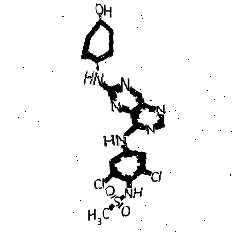 CS(=O)(=O)Nc1c(Cl)cc(Nc2ncnc3cnc(N[C@H]4CC[C@H](O)CC4)nc23)cc1Cl